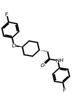 O=C(C[C@H]1CC[C@H](Oc2ccc(F)cc2)CC1)Nc1ccc(F)cc1